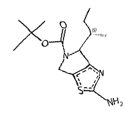 CC[C@H](C)C1c2nc(N)sc2CN1C(=O)OC(C)(C)C